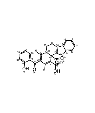 CC1=C(C(=O)O)C2(C(=O)O)c3[nH]c4ccccc4c3CCN2C(C)=C1C(=O)c1ccccc1O